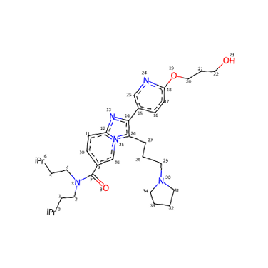 CC(C)CCN(CCC(C)C)C(=O)c1ccc2nc(-c3ccc(OCCCO)nc3)c(CCCN3CCCC3)n2c1